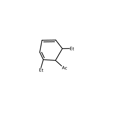 CCC1=CC=CC(CC)C1C(C)=O